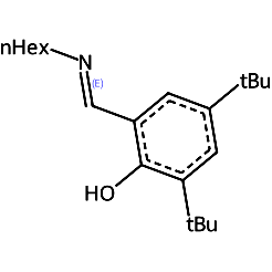 CCCCCC/N=C/c1cc(C(C)(C)C)cc(C(C)(C)C)c1O